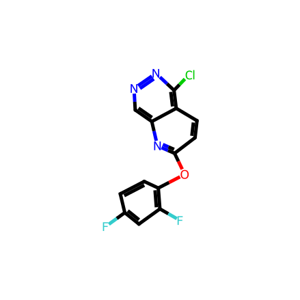 Fc1ccc(Oc2ccc3c(Cl)nncc3n2)c(F)c1